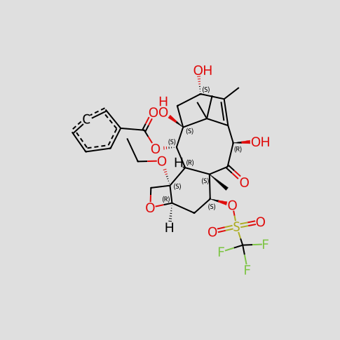 CCO[C@@]12CO[C@@H]1C[C@H](OS(=O)(=O)C(F)(F)F)[C@@]1(C)C(=O)[C@H](O)C3=C(C)[C@@H](O)C[C@@](O)([C@@H](OC(=O)c4ccccc4)[C@H]21)C3(C)C